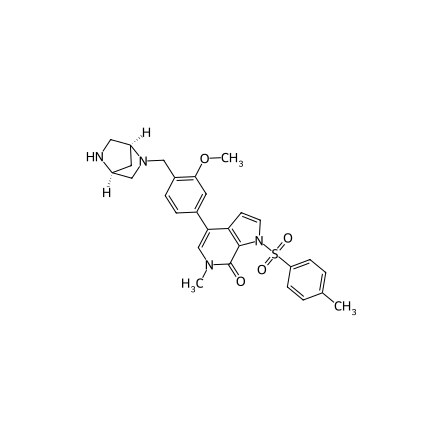 COc1cc(-c2cn(C)c(=O)c3c2ccn3S(=O)(=O)c2ccc(C)cc2)ccc1CN1C[C@@H]2C[C@H]1CN2